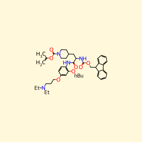 C=C(C)OC(=O)N1CCC(CC(NC(=O)OCC2c3ccccc3-c3ccccc32)C(=O)Nc2ccc(OCCCN(CC)CC)cc2OCCCC)CC1